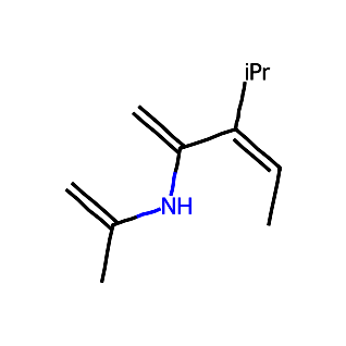 C=C(C)NC(=C)/C(=C\C)C(C)C